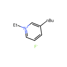 CCCCc1ccc[n+](CC)c1.[F-]